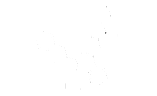 CCOC(=O)C(=O)CC(=O)c1cccc(OC)c1OCC(Cc1ccccc1)OC